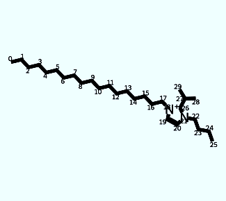 CCCCCCCCCCCCCCCCCC[n+]1ccn(CCCC)c1C(C)C